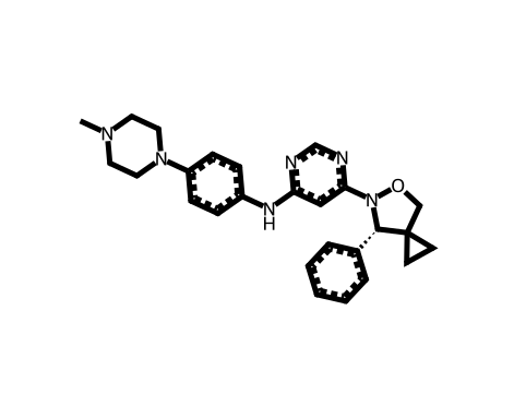 CN1CCN(c2ccc(Nc3cc(N4OCC5(CC5)[C@@H]4c4ccccc4)ncn3)cc2)CC1